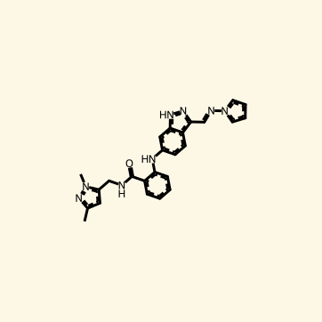 Cc1cc(CNC(=O)c2ccccc2Nc2ccc3c(C=Nn4cccc4)n[nH]c3c2)n(C)n1